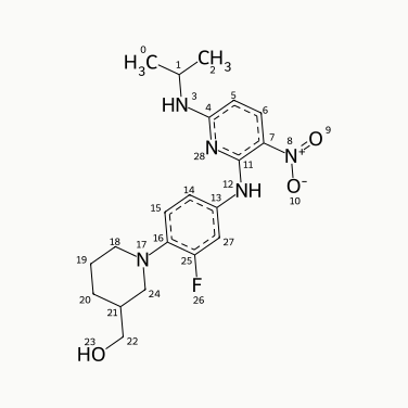 CC(C)Nc1ccc([N+](=O)[O-])c(Nc2ccc(N3CCCC(CO)C3)c(F)c2)n1